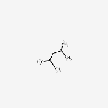 [CH2]C([CH2])CC(C)C